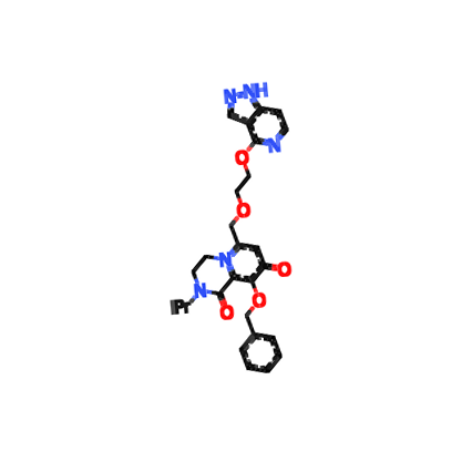 CC(C)N1CCn2c(COCCOc3nccc4[nH]ncc34)cc(=O)c(OCc3ccccc3)c2C1=O